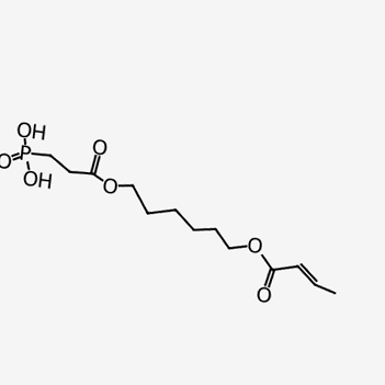 CC=CC(=O)OCCCCCCOC(=O)CCP(=O)(O)O